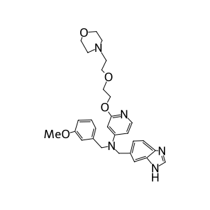 COc1cccc(CN(Cc2ccc3nc[nH]c3c2)c2ccnc(OCCOCCN3CCOCC3)c2)c1